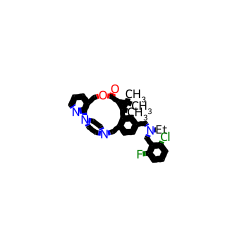 CCN(Cc1ccc2c(c1)C1(C)C(C(=O)OCc3cccnc3N3CCN(CC3)C2)C1(C)C)Cc1c(F)cccc1Cl